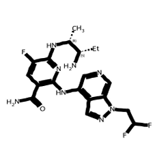 CC[C@H](N)[C@@H](C)Nc1nc(Nc2cncc3c2cnn3CC(F)F)c(C(N)=O)cc1F